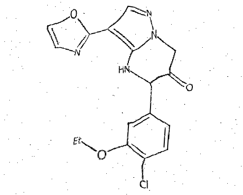 CCOc1cc(C2Nc3c(-c4ncco4)cnn3CC2=O)ccc1Cl